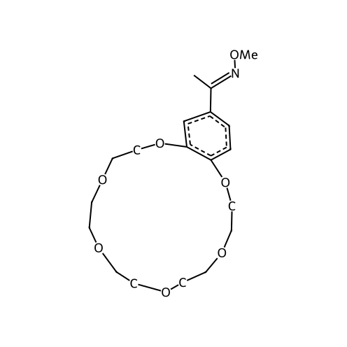 CO/N=C(\C)c1ccc2c(c1)OCCOCCOCCOCCOCCO2